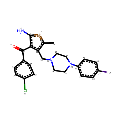 Cc1sc(N)c(C(=O)c2ccc(Cl)cc2)c1CN1CCN(c2ccc(I)cc2)CC1